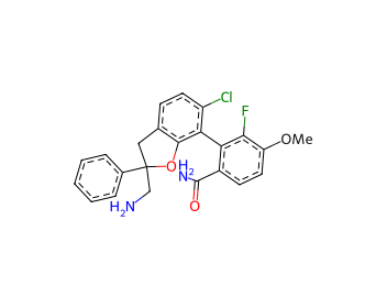 COc1ccc(C(N)=O)c(-c2c(Cl)ccc3c2OC(CN)(c2ccccc2)C3)c1F